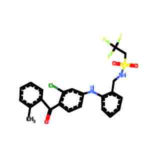 Cc1ccccc1C(=O)c1ccc(Nc2ccccc2CNS(=O)(=O)CC(F)(F)F)cc1Cl